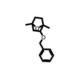 CC12CCC(C)(O1)C(OCc1ccccc1)C2